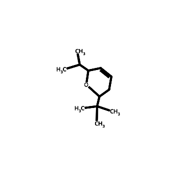 CC(C)C1C=CCC(C(C)(C)C)O1